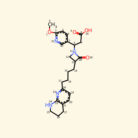 COc1ccc(C(CC(=O)O)N2CC(CCCCc3ccc4c(n3)NCCC4)C2=O)cn1